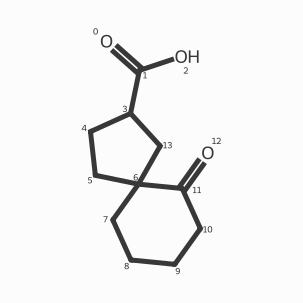 O=C(O)C1CCC2(CCCCC2=O)C1